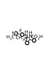 Cc1nccc(-c2ccc(NC(=O)C(NC(=O)O)C(c3ccccc3)c3ccccc3)cc2F)c1C